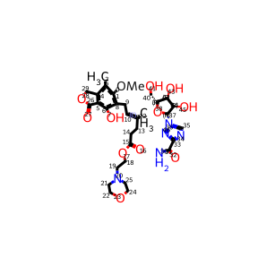 COc1c(C)c2c(c(O)c1C/C=C(\C)CCC(=O)OCCN1CCOCC1)C(=O)OC2.NC(=O)c1ncn([C@@H]2O[C@H](CO)[C@@H](O)[C@H]2O)n1